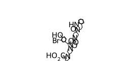 O=C(O)[C@@H]1CCCN1C1CCN(C(=O)[C@@H](Cc2ccc(O)c(Br)c2)OC(=O)N2CCC(N3CCc4ccccc4NC3=O)CC2)CC1